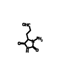 O=CCCC1C(=O)NC(=O)N1P